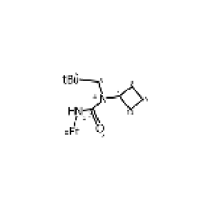 CCNC(=O)N(CC(C)(C)C)C1CCC1